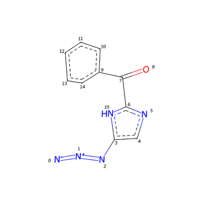 [N-]=[N+]=Nc1cnc(C(=O)c2ccccc2)[nH]1